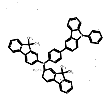 CC1(C)C2=C[C@](C)(N(c3ccc(-c4ccc5c(c4)c4ccccc4n5-c4ccccc4)cc3)c3ccc4c(c3)C(C)(C)c3ccccc3-4)CC=C2c2ccccc21